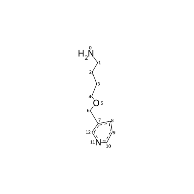 NC[CH]CCOCc1cccnc1